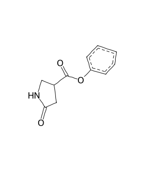 O=C1CC(C(=O)Oc2ccccc2)CN1